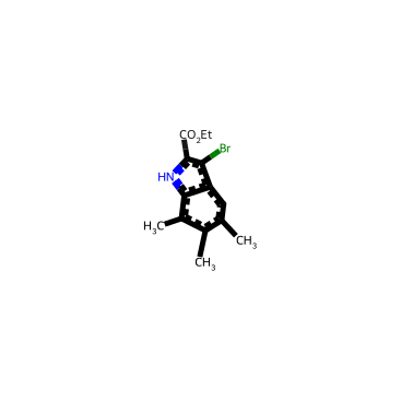 CCOC(=O)c1[nH]c2c(C)c(C)c(C)cc2c1Br